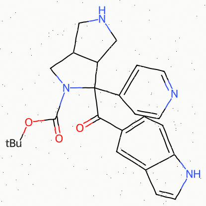 CC(C)(C)OC(=O)N1CC2CNCC2C1(C(=O)c1ccc2[nH]ccc2c1)c1ccncc1